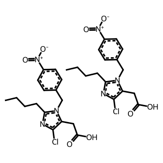 CCCCc1nc(Cl)c(CC(=O)O)n1Cc1ccc([N+](=O)[O-])cc1.CCCCc1nc(Cl)c(CC(=O)O)n1Cc1ccc([N+](=O)[O-])cc1